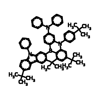 CC(C)(C)c1ccc(N2c3cc(N(c4ccccc4)c4ccccc4)ccc3B3c4cc5c(cc4C(C)(C)c4cc(C(C)(C)C)cc2c43)c2cc(C(C)(C)C)ccc2n5-c2ccccc2)cc1